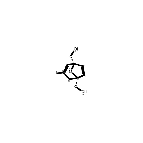 CC1=C[C@@]2(CO)C=C[C@@](CO)(C1)O2